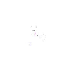 CN(C)CCC[N+]1([O-])c2ccccc2CCc2ccccc21